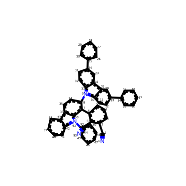 N#Cc1cccc(-c2c(-n3c4ccc(-c5ccccc5)cc4c4cc(-c5ccccc5)ccc43)ccc3c4ccccc4n(-c4ccccc4)c23)c1C#N